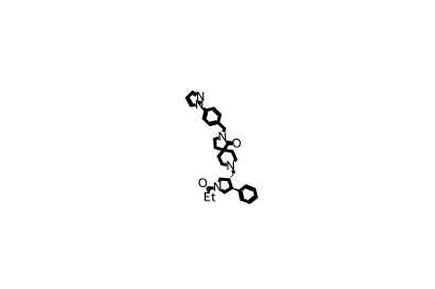 CCC(=O)N1C[C@H](CN2CCC3(CC2)CCN(Cc2ccc(-n4cccn4)cc2)C3=O)[C@@H](c2ccccc2)C1